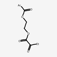 CCC(=O)C(=O)OCCOC(=O)C(C)=O